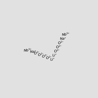 [Li+].[Li+].[Na+].[Na+].[Nb+5].[Nb+5].[O-2].[O-2].[O-2].[O-2].[O-2].[O-2].[O-2]